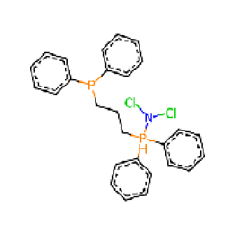 ClN(Cl)[PH](CCCP(c1ccccc1)c1ccccc1)(c1ccccc1)c1ccccc1